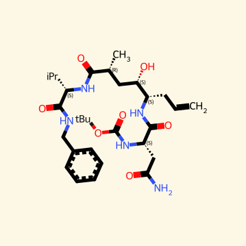 C=CC[C@H](NC(=O)[C@H](CC(N)=O)NC(=O)OC(C)(C)C)[C@@H](O)C[C@@H](C)C(=O)N[C@H](C(=O)NCc1ccccc1)C(C)C